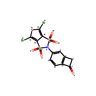 O=C1Cc2cc(N3S(=O)(=O)c4c(Br)sc(Br)c4S3(=O)=O)ccc21